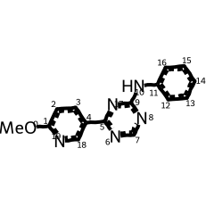 COc1ccc(-c2ncnc(Nc3ccccc3)n2)cn1